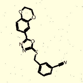 N#Cc1cccc(CSc2nnc(-c3ccc4c(c3)OCCO4)o2)c1